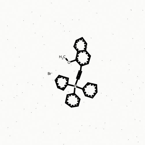 COc1c(C#C[P+](c2ccccc2)(c2ccccc2)c2ccccc2)ccc2ccccc12.[Br-]